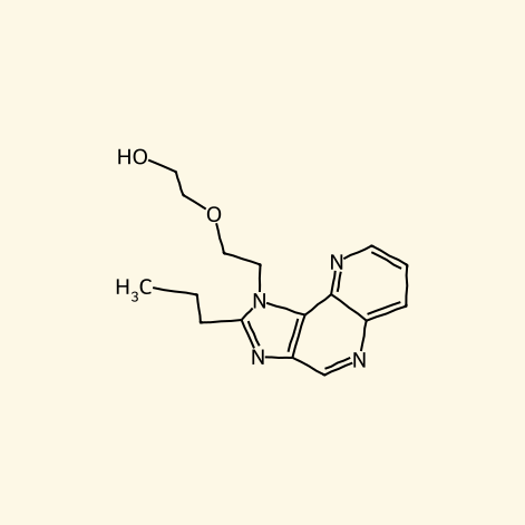 CCCc1nc2cnc3cccnc3c2n1CCOCCO